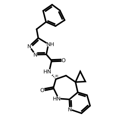 O=C(N[C@@H]1CC2(CC2)c2cccnc2NC1=O)c1nnc(Cc2ccccc2)[nH]1